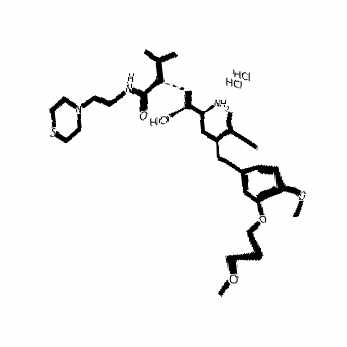 COCCCOc1cc(C[C@@H](C[C@H](N)[C@@H](O)C[C@H](C(=O)NCCN2CCSCC2)C(C)C)C(C)C)ccc1OC.Cl.Cl